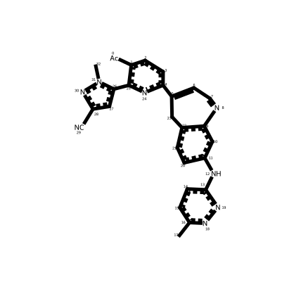 CC(=O)c1ccc(C2=CC=Nc3cc(Nc4ccc(C)nn4)ccc3C2)nc1-c1cc(C#N)nn1C